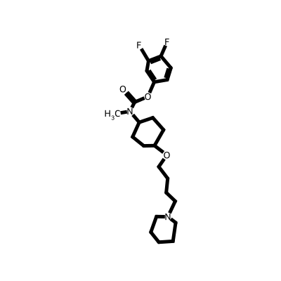 CN(C(=O)Oc1ccc(F)c(F)c1)C1CCC(OCCCCN2CCCCC2)CC1